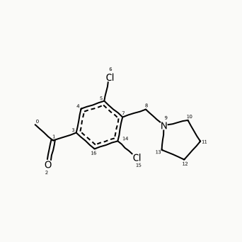 CC(=O)c1cc(Cl)c(CN2CCCC2)c(Cl)c1